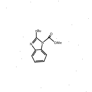 CCCCc1nc2ccccc2n1C(=O)OC